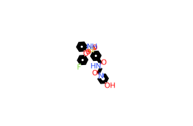 O=C(NCC(=O)N1CCC(O)CC1)c1ccc(S(=O)(=O)Nc2ccccc2Oc2ccc(F)cc2)cc1